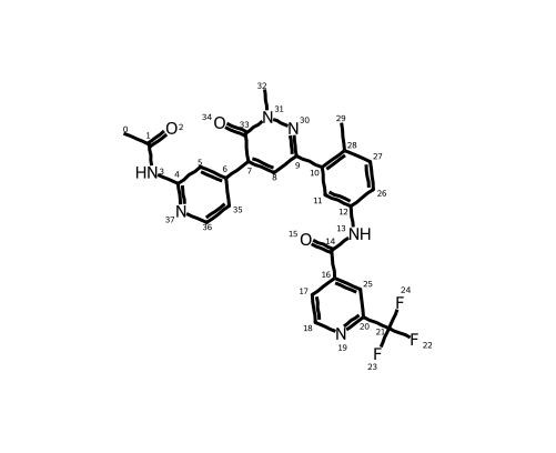 CC(=O)Nc1cc(-c2cc(-c3cc(NC(=O)c4ccnc(C(F)(F)F)c4)ccc3C)nn(C)c2=O)ccn1